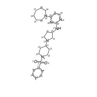 O=S(=O)(c1ccccc1)N1CCC(N2CCC(Nc3nccc(N4CCCCCC4)n3)C2)CC1